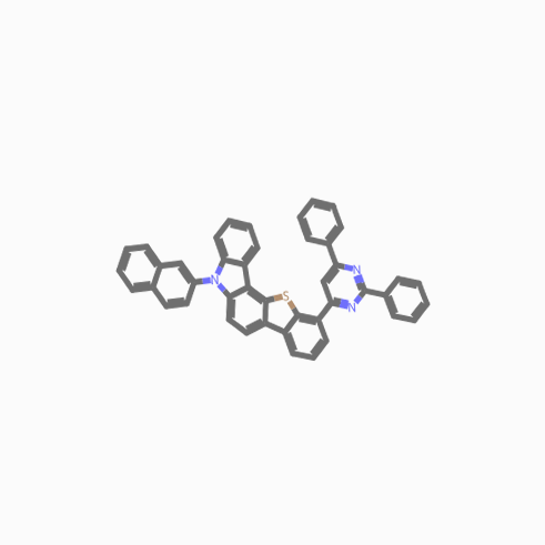 c1ccc(-c2cc(-c3cccc4c3sc3c4ccc4c3c3ccccc3n4-c3ccc4ccccc4c3)nc(-c3ccccc3)n2)cc1